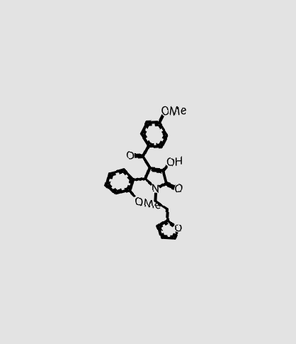 COc1ccc(C(=O)C2=C(O)C(=O)N(CCc3ccco3)C2c2ccccc2OC)cc1